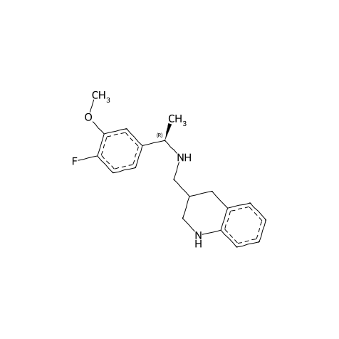 COc1cc([C@@H](C)NCC2CNc3ccccc3C2)ccc1F